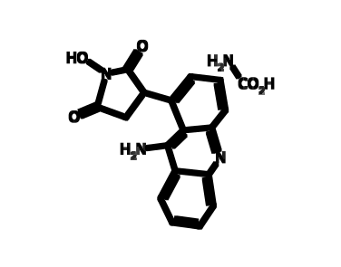 NC(=O)O.Nc1c2ccccc2nc2cccc(C3CC(=O)N(O)C3=O)c12